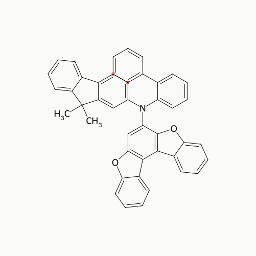 CC1(C)c2ccccc2-c2ccc(N(c3ccccc3-c3ccccc3)c3cc4oc5ccccc5c4c4c3oc3ccccc34)cc21